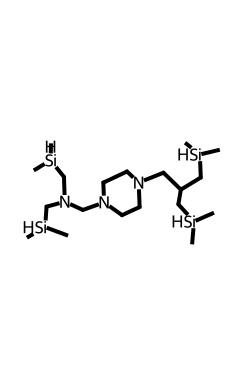 C[SiH](C)CC(CN1CCN(CN(C[SiH](C)C)C[SiH](C)C)CC1)C[SiH](C)C